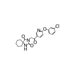 O=C(CN1C(=O)NC2(CCCCC2)C1=O)c1ccc(Oc2cccc(Cl)c2)nc1